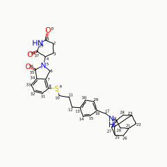 O=C1CCC(N2Cc3c(SCCCc4ccc(CNC56CC7CC(CC(C7)C5)C6)cc4)cccc3C2=O)C(=O)N1